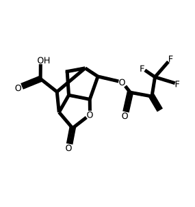 C=C(C(=O)OC1C2CC3C1OC(=O)C3C2C(=O)O)C(F)(F)F